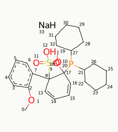 COc1ccccc1C1(S(=O)(=O)O)C=CC=CC1(OC)P(C1CCCCC1)C1CCCCC1.[NaH]